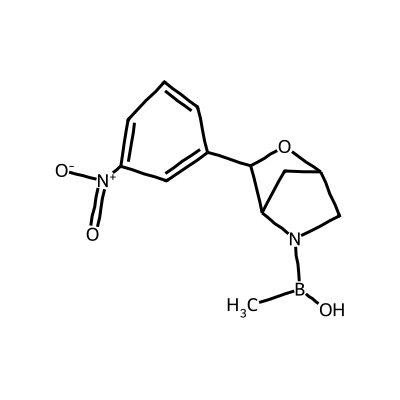 CB(O)N1CC2CC1C(c1cccc([N+](=O)[O-])c1)O2